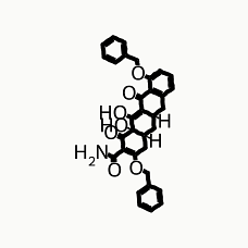 NC(=O)C1=C(OCc2ccccc2)C[C@@H]2C[C@@H]3Cc4cccc(OCc5ccccc5)c4C(=O)C3=C(O)[C@]2(O)C1=O